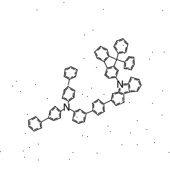 c1ccc(-c2ccc(N(c3ccc(-c4ccccc4)cc3)c3cccc(-c4ccc(-c5ccc6c7ccccc7n(-c7ccc8c(c7)C(c7ccccc7)(c7ccccc7)c7ccccc7-8)c6c5)cc4)c3)cc2)cc1